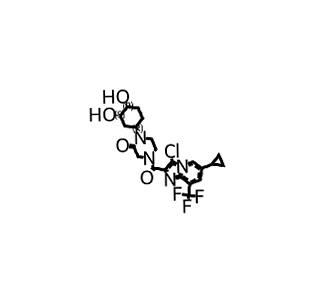 O=C(c1nc2c(C(F)(F)F)cc(C3CC3)cn2c1Cl)N1CCN([C@@H]2CC[C@@H](O)[C@@H](O)C2)C(=O)C1